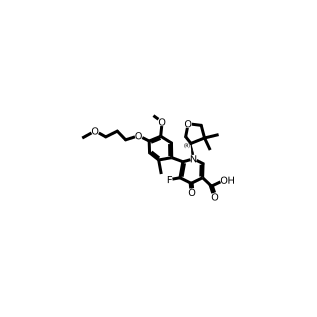 COCCCOc1cc(C)c(-c2c(F)c(=O)c(C(=O)O)cn2[C@H]2COCC2(C)C)cc1OC